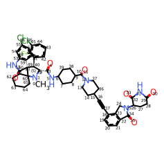 CN1[C@@H](C(=O)NC2CCC(C(=O)N3CCC(C#Cc4cccc5c4CN(C4CCC(=O)NC4=O)C5=O)CC3)CC2)[C@H](c2cccc(Cl)c2F)[C@]2(C(=O)Nc3cc(Cl)ccc32)C12CCCCC2